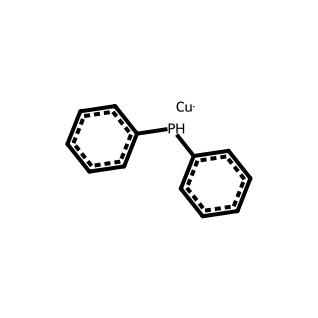 [Cu].c1ccc(Pc2ccccc2)cc1